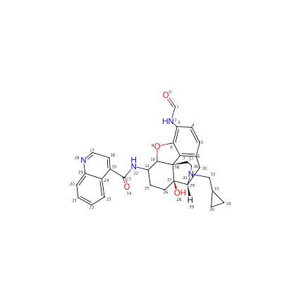 O=CNc1ccc2c3c1OC1C(NC(=O)c4ccnc5ccccc45)CC[C@@]4(O)[C@@H](C2)N(CC2CC2)CC[C@]314